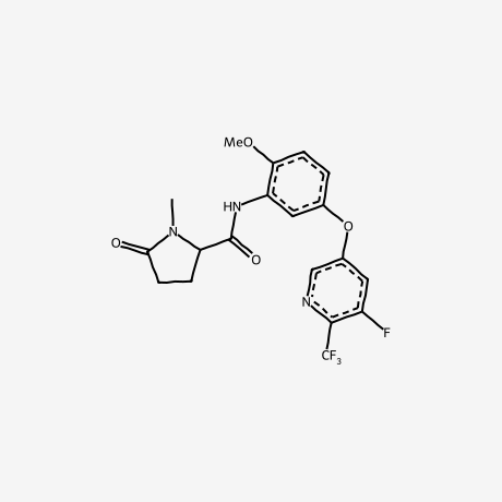 COc1ccc(Oc2cnc(C(F)(F)F)c(F)c2)cc1NC(=O)C1CCC(=O)N1C